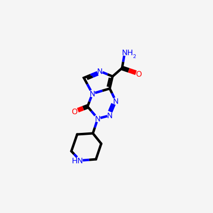 NC(=O)c1ncn2c(=O)n(C3CCNCC3)nnc12